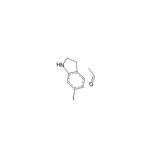 CC=O.Ic1ccc2c(c1)NCC2